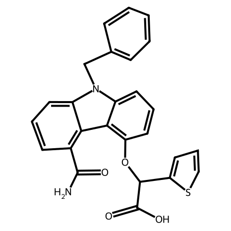 NC(=O)c1cccc2c1c1c(OC(C(=O)O)c3cccs3)cccc1n2Cc1ccccc1